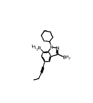 Bc1nn(C2CCCCC2)c2c(B)cc(C#CCC)cc12